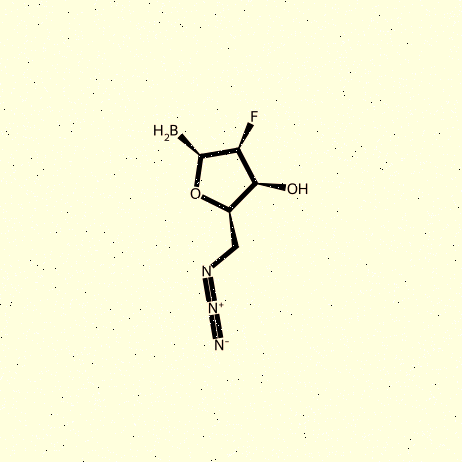 B[C@@H]1O[C@H](CN=[N+]=[N-])[C@H](O)[C@@H]1F